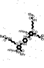 CCCCCCOc1cc(OCCCCCNC(=O)OC(C)(C)C)c(C(=O)N[C@H]2CC[C@H](NC(=O)c3cc(C(=O)NCCN(C)C)c(OCCCCCNC(=O)OC(C)(C)C)cc3OCCCCCC)CC2)cc1C(=O)NCCC